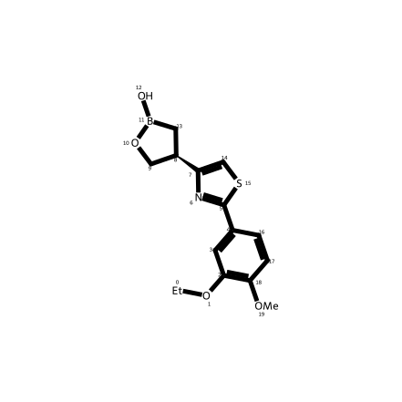 CCOc1cc(-c2nc([C@H]3COB(O)C3)cs2)ccc1OC